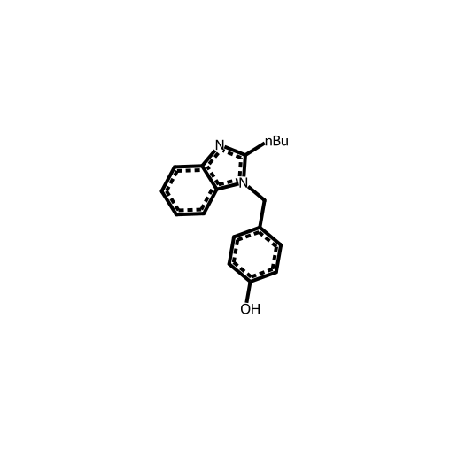 CCCCc1nc2ccccc2n1Cc1ccc(O)cc1